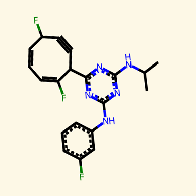 CC(C)Nc1nc(Nc2cccc(F)c2)nc(C2C#CC(F)/C=C\C=C/2F)n1